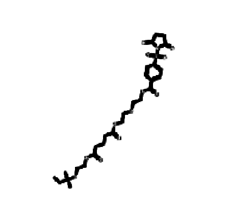 CCC(C)(C)SCCOC(=O)CCCC(=O)OCCOCCOC(=O)c1ccc(S(=O)(=O)N2C(=O)CCC2=O)cc1